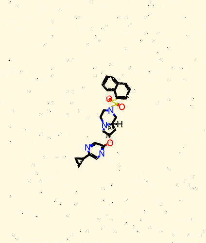 O=S(=O)(c1cccc2ccccc12)N1CCN2C[C@@H](Oc3cnc(C4CC4)cn3)C[C@H]2C1